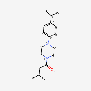 CC(C)CC(=O)N1CCN(c2ccc(C(C)C)cc2)CC1